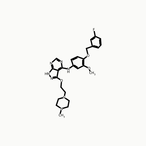 COc1cc(Nc2ncnc3[nH]nc(OCCN4CCN(C)CC4)c23)ccc1OCc1cccc(F)c1